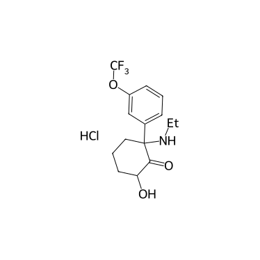 CCNC1(c2cccc(OC(F)(F)F)c2)CCCC(O)C1=O.Cl